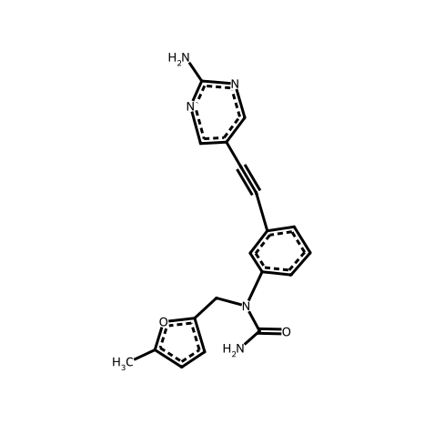 Cc1ccc(CN(C(N)=O)c2cccc(C#Cc3cnc(N)nc3)c2)o1